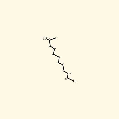 CCC(I)CCCCCCCCCI